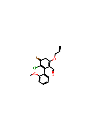 C=CCOC1=C(C=O)C(c2ccccc2OC)=C(Cl)C(=S)C1